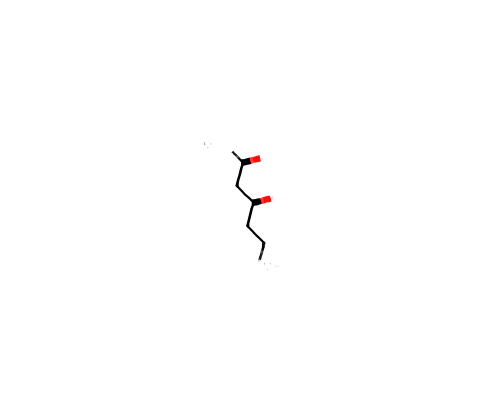 COC(=O)CC(=O)CCSC